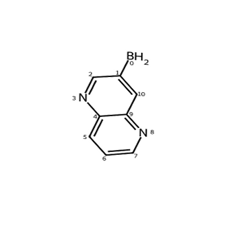 Bc1cnc2cccnc2c1